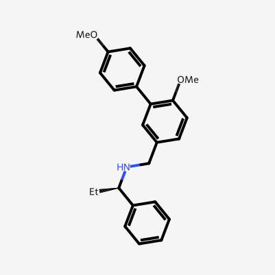 CC[C@@H](NCc1ccc(OC)c(-c2ccc(OC)cc2)c1)c1ccccc1